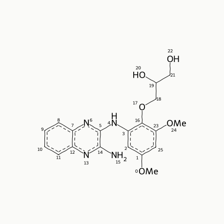 COc1cc(Nc2nc3ccccc3nc2N)c(OCC(O)CO)c(OC)c1